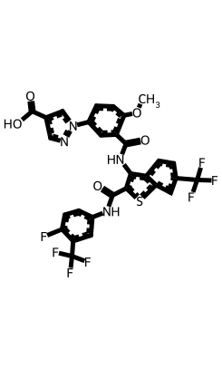 COc1ccc(-n2cc(C(=O)O)cn2)cc1C(=O)Nc1c(C(=O)Nc2ccc(F)c(C(F)(F)F)c2)sc2cc(C(F)(F)F)ccc12